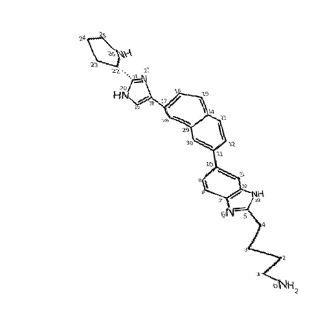 NCCCCc1nc2ccc(-c3ccc4ccc(-c5c[nH]c([C@@H]6CCCN6)n5)cc4c3)cc2[nH]1